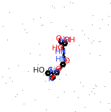 O=C(O)NC(c1ccccc1)(c1cccc(OCc2ccc(C(=O)NCCCNCC(O)c3ccc(O)c4[nH]c(=O)ccc34)cc2)c1)C1CN2CCC1CC2